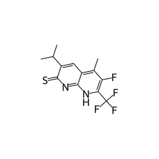 Cc1c2cc(C(C)C)c(=S)nc-2[nH]c(C(F)(F)F)c1F